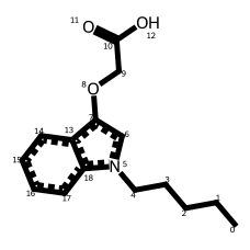 CCCCCn1cc(OCC(=O)O)c2ccccc21